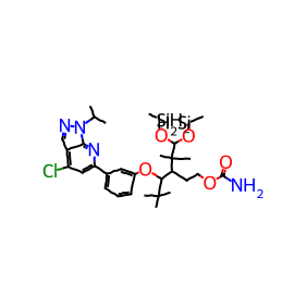 C[SiH2]OC(O[SiH2]C)C(C)(C)C(CCOC(N)=O)C(Oc1cccc(-c2cc(Cl)c3cnn(C(C)C)c3n2)c1)C(C)(C)C